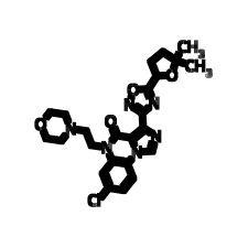 CC1(C)CCC(c2nc(-c3ncn4c3c(=O)n(CCN3CCOCC3)c3cc(Cl)ccc34)no2)O1